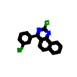 Clc1nc(-c2cccc(Br)c2)c2ccc3ccccc3c2n1